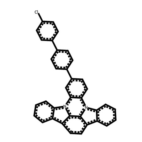 Clc1ccc(-c2ccc(-c3ccc4c(c3)n3c5ccccc5c5ccc6c7ccccc7n4c6c53)cc2)cc1